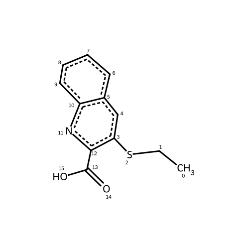 CCSc1cc2ccccc2nc1C(=O)O